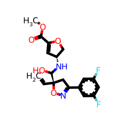 C=C[C@]1(C(O)N[C@@H]2C=C(C(=O)OC)OC2)CC(c2cc(F)cc(F)c2)=NO1